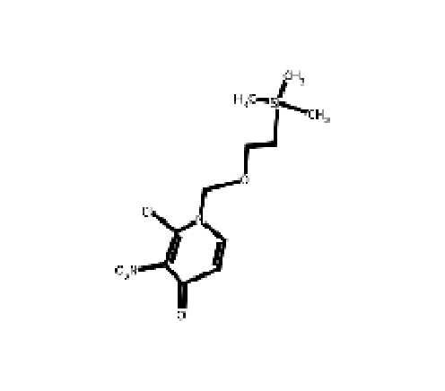 C[Si](C)(C)CCOCn1ccc(=O)c([N+](=O)[O-])c1Cl